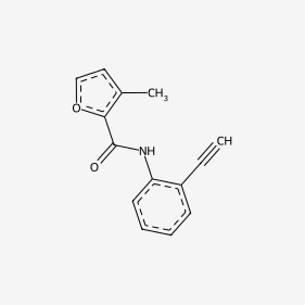 C#Cc1ccccc1NC(=O)c1occc1C